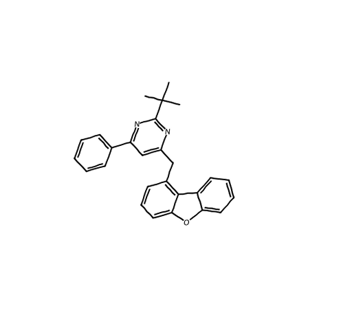 CC(C)(C)c1nc(Cc2cccc3oc4ccccc4c23)cc(-c2ccccc2)n1